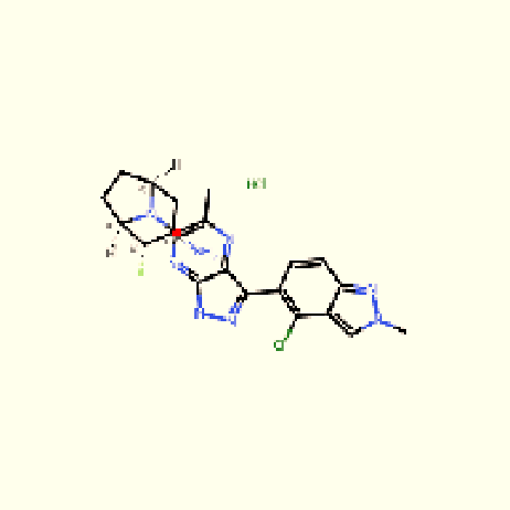 Cc1nc2c(-c3ccc4nn(C)cc4c3Cl)n[nH]c2nc1N1[C@H]2CC[C@@H]1[C@@H](F)[C@@H](N)C2.Cl